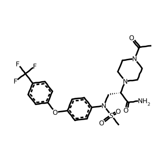 CC(=O)N1CCN([C@@H](CN(c2ccc(Oc3ccc(C(F)(F)F)cc3)cc2)S(C)(=O)=O)C(N)=O)CC1